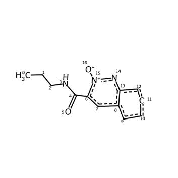 CCCNC(=O)c1cc2ccccc2n[n+]1[O-]